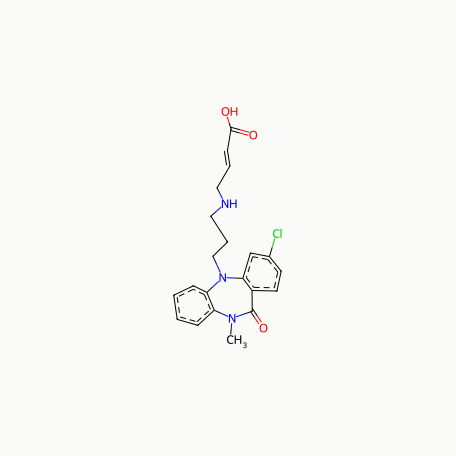 CN1C(=O)c2ccc(Cl)cc2N(CCCNC/C=C/C(=O)O)c2ccccc21